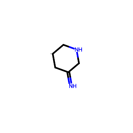 N=C1C[CH]CNC1